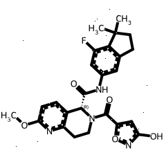 COc1ccc2c(n1)CCN(C(=O)c1cc(O)no1)[C@H]2C(=O)Nc1cc(F)c2c(c1)CCC2(C)C